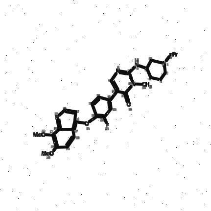 CCCN1CCCC(Nc2ncc(-c3ccc(Oc4ccnc5c(OC)c(OC)ccc45)c(F)c3)c(=O)n2C)C1